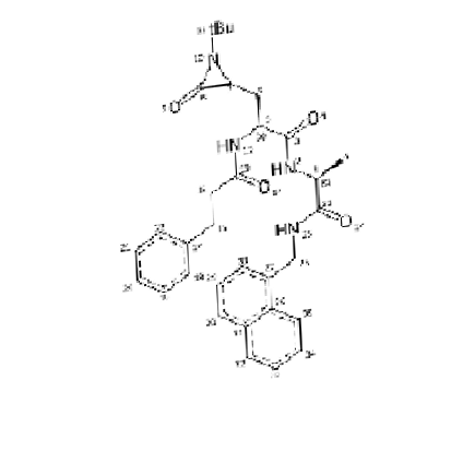 C[C@H](NC(=O)[C@H](CC1C(=O)N1C(C)(C)C)NC(=O)CCc1ccccc1)C(=O)NCc1cccc2ccccc12